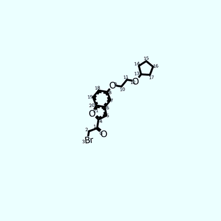 O=C(CBr)c1cc2cc(OCCOC3CCCC3)ccc2o1